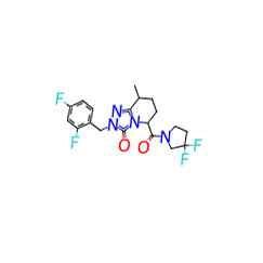 CC1CCC(C(=O)N2CCC(F)(F)C2)n2c1nn(Cc1ccc(F)cc1F)c2=O